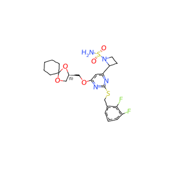 NS(=O)(=O)N1CCC1c1cc(OC[C@H]2COC3(CCCCC3)O2)nc(SCc2cccc(F)c2F)n1